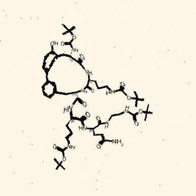 CC(C)(C)OC(=O)NCCC[C@@H]1NC(=O)[C@@H](NC(=O)OC(C)(C)C)Cc2cc(ccc2O)-c2cccc(c2)C[C@@H](C(=O)N[C@H](CCCNC(=O)OC(C)(C)C)C(=O)N[C@H](CCC(N)=O)C(=O)NCCNC(=O)OC(C)(C)C)NC1=O